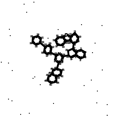 C1=c2ccccc2=C(c2cccc3oc4ccccc4c23)CC1c1nc(-c2ccc(-c3ccccc3)cc2)nc(-c2ccc3ccccc3c2)n1